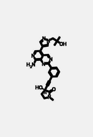 CN1CC[C@@](O)(C#Cc2cccc(-c3ncc4c(-c5cnn(CC(C)(C)O)c5)cnc(N)c4n3)c2)C1=O